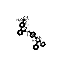 CC(C)(C)c1ccc(-c2ccccc2C(=O)NCC23CCC(C(=O)N[C@H](C(=O)N4CCCC4)c4ccccc4)(CC2)CC3)cc1